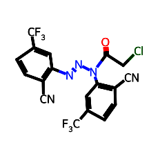 N#Cc1ccc(C(F)(F)F)cc1N=NN(C(=O)CCl)c1cc(C(F)(F)F)ccc1C#N